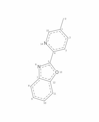 Cc1ccc(-c2nc3ccccc3o2)nc1